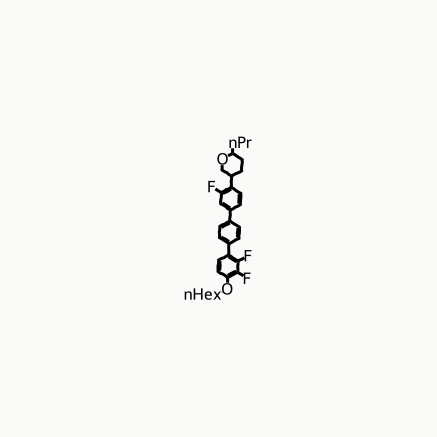 CCCCCCOc1ccc(-c2ccc(-c3ccc(C4CCC(CCC)OC4)c(F)c3)cc2)c(F)c1F